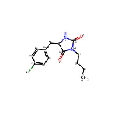 CCCCN1C(=O)NC(Cc2ccc(F)cc2)C1=O